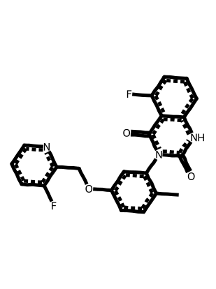 Cc1ccc(OCc2ncccc2F)cc1-n1c(=O)[nH]c2cccc(F)c2c1=O